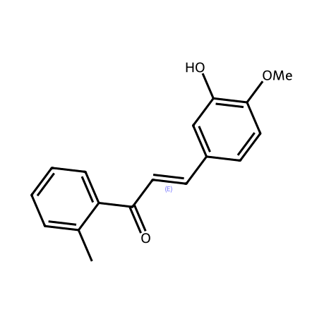 COc1ccc(/C=C/C(=O)c2ccccc2C)cc1O